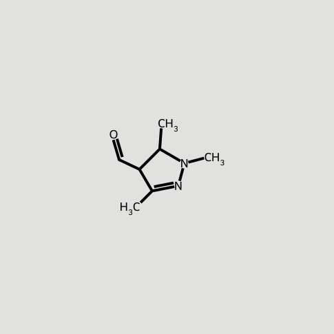 CC1=NN(C)C(C)C1C=O